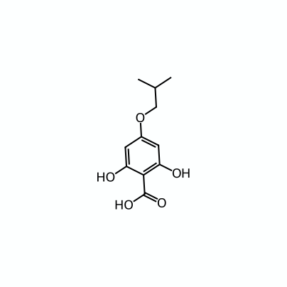 CC(C)COc1cc(O)c(C(=O)O)c(O)c1